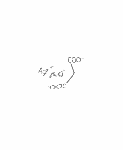 O=C([O-])CC(=O)[O-].[Ag+].[Ag+]